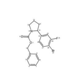 O=C(OCc1ccccc1)N1CCCC1c1ccc(Br)c(F)c1